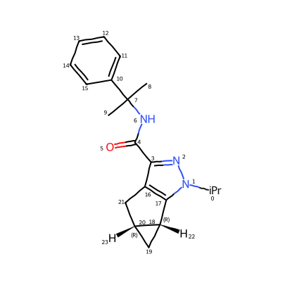 CC(C)n1nc(C(=O)NC(C)(C)c2ccccc2)c2c1[C@@H]1C[C@@H]1C2